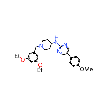 CCOc1cc(CN2CCC(Nc3ncc(-c4ccc(OC)cc4)cn3)CC2)cc(OCC)c1